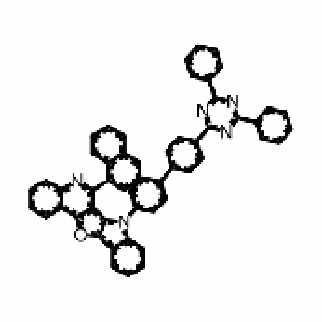 c1ccc(-c2nc(-c3ccccc3)nc(-c3ccc(-c4ccc(-n5c6ccccc6c6oc7c8ccccc8nc(-c8cccc9ccccc89)c7c65)cc4)cc3)n2)cc1